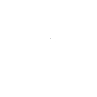 CN1C(C)(C)CN(C(C)(C)C)CC1(C)C